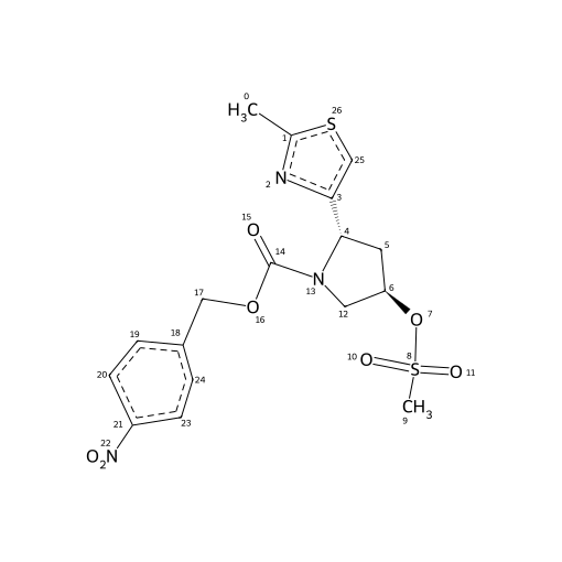 Cc1nc([C@@H]2C[C@@H](OS(C)(=O)=O)CN2C(=O)OCc2ccc([N+](=O)[O-])cc2)cs1